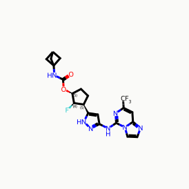 O=C(NC12CC(C1)C2)O[C@H]1CC[C@@H](c2cc(Nc3nc(C(F)(F)F)cc4nccn34)n[nH]2)[C@H]1F